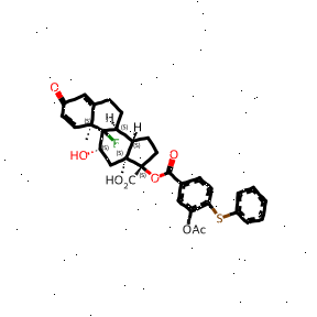 CC(=O)Oc1cc(C(=O)O[C@@]2(C(=O)O)CC[C@H]3[C@@H]4CCC5=CC(=O)C=C[C@]5(C)C4(F)[C@@H](O)C[C@@]32C)ccc1Sc1ccccc1